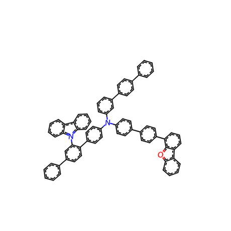 c1ccc(-c2ccc(-c3cccc(N(c4ccc(-c5ccc(-c6cccc7c6oc6ccccc67)cc5)cc4)c4ccc(-c5ccc(-c6ccccc6)cc5-n5c6ccccc6c6ccccc65)cc4)c3)cc2)cc1